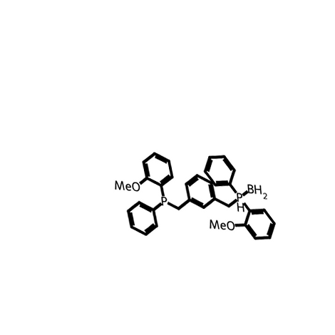 B[PH](Cc1cccc(CP(c2ccccc2)c2ccccc2OC)c1)(c1ccccc1)c1ccccc1OC